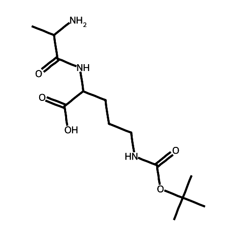 CC(N)C(=O)NC(CCCNC(=O)OC(C)(C)C)C(=O)O